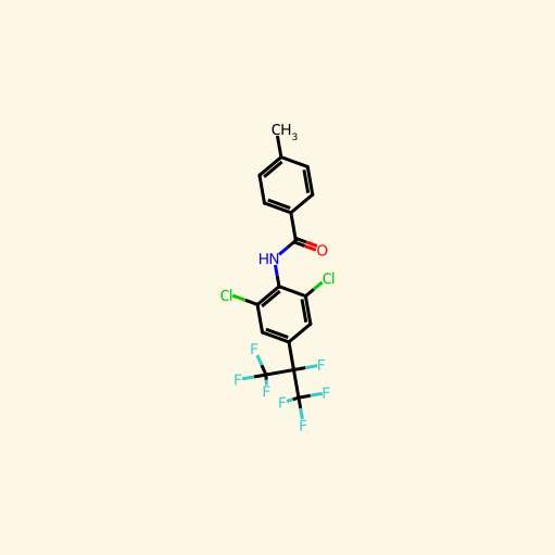 Cc1ccc(C(=O)Nc2c(Cl)cc(C(F)(C(F)(F)F)C(F)(F)F)cc2Cl)cc1